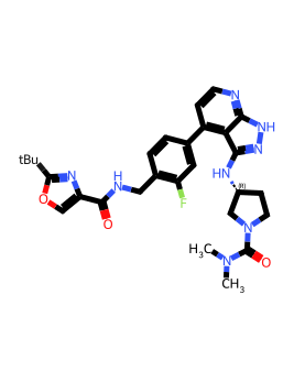 CN(C)C(=O)N1CC[C@@H](Nc2n[nH]c3nccc(-c4ccc(CNC(=O)c5coc(C(C)(C)C)n5)c(F)c4)c23)C1